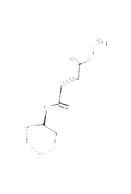 CC(C)(C)OC(=O)/C=C/C(=O)OC1CCCCC1